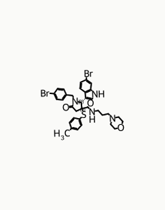 Cc1ccc(S[C@@]2(C(=O)NCCCN3CCOCC3)CC(=O)N(Cc3ccc(Br)cc3)[C@@H]2c2c[nH]c3cc(Br)ccc23)cc1